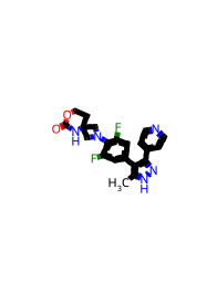 Cc1[nH]nc(-c2ccncc2)c1-c1cc(F)c(N2CC3(CCOC(=O)N3)C2)c(F)c1